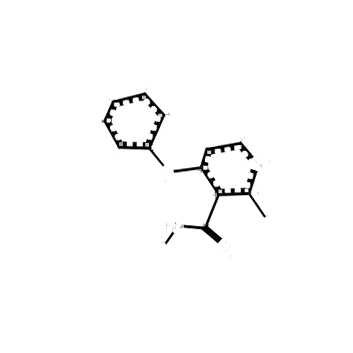 CNC(=O)c1c(Sc2ccccc2)ccnc1C